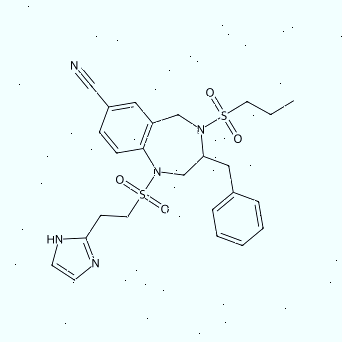 CCCS(=O)(=O)N1Cc2cc(C#N)ccc2N(S(=O)(=O)CCc2ncc[nH]2)CC1Cc1ccccc1